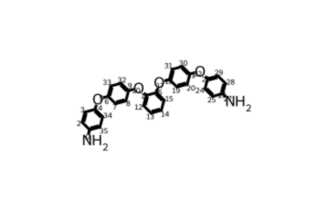 Nc1ccc(Oc2ccc(Oc3ccccc3Oc3ccc(Oc4ccc(N)cc4)cc3)cc2)cc1